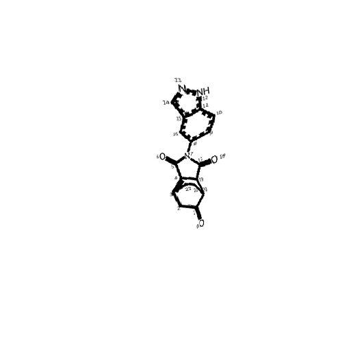 O=C1CC2=C3C(=O)N(c4ccc5[nH]ncc5c4)C(=O)C3C1CC2